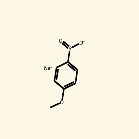 COc1ccc(S(=O)[O-])cc1.[Na+]